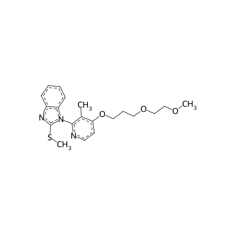 COCCOCCCOc1ccnc(-n2c(SC)nc3ccccc32)c1C